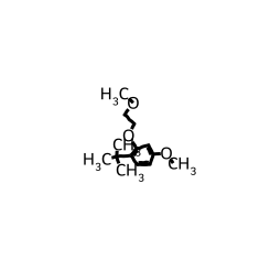 COCCOc1cc(OC)ccc1C(C)(C)C